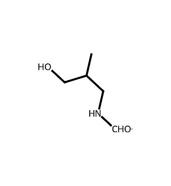 CC(CO)CN[C]=O